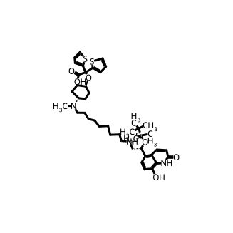 CN(CCCCCCCCCNC[C@H](O[Si](C)(C)C(C)(C)C)c1ccc(O)c2[nH]c(=O)ccc12)[C@H]1CC[C@H](OC(C(=O)O)(c2cccs2)c2cccs2)CC1